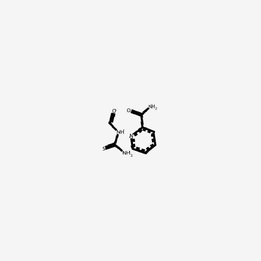 NC(=O)c1ccccn1.NC(=S)NC=O